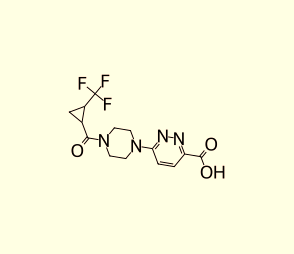 O=C(O)c1ccc(N2CCN(C(=O)C3CC3C(F)(F)F)CC2)nn1